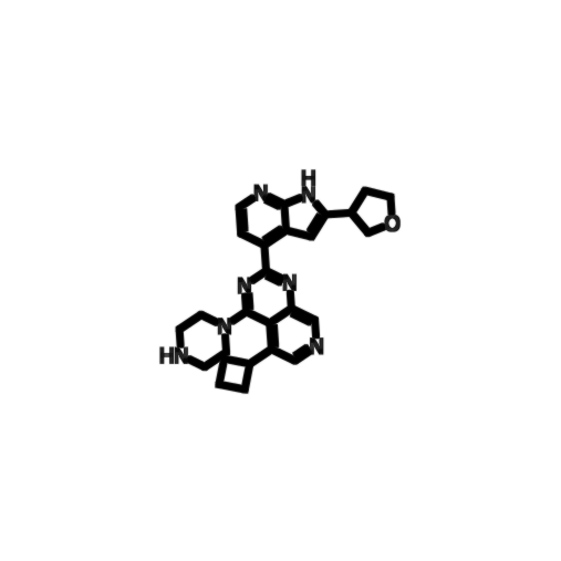 c1cc(-c2nc(N3CCNCC3)c3c(C4CCC4)cncc3n2)c2cc(C3CCOC3)[nH]c2n1